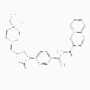 CCOC(=O)CC1(O)CCN(CC2CN(c3ccc(C(=N)NC(=O)c4ccc5ccccc5c4)cc3)C(=O)O2)CC1